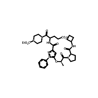 CCOC(=O)N1CCN(C(=O)C(CCC(=O)O)NC(=O)c2cc(O[C@H](C)C(=O)N3CCCC3C(=O)NC3CCC3)n(-c3ccccc3)n2)CC1